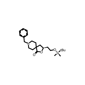 CC(C)(C)[Si](C)(C)OCC[C@@H]1CC2(CCN(Cc3ccccc3)CC2)C(=O)O1